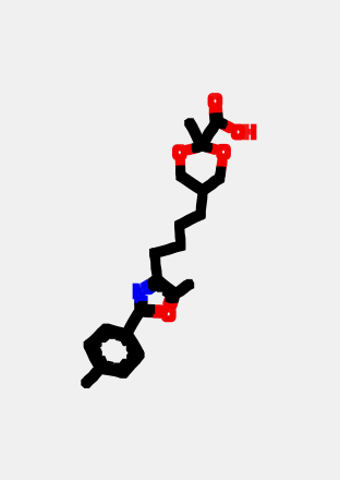 Cc1ccc(-c2nc(CCCCC3COC(C)(C(=O)O)OC3)c(C)o2)cc1